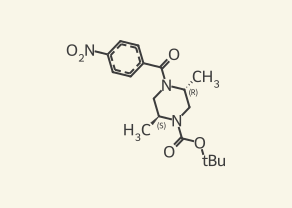 C[C@@H]1CN(C(=O)OC(C)(C)C)[C@@H](C)CN1C(=O)c1ccc([N+](=O)[O-])cc1